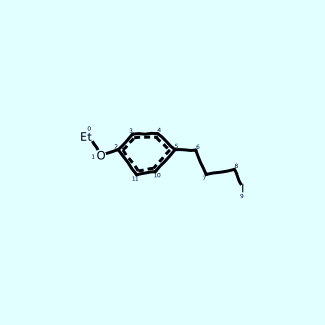 CCOc1ccc(CCCI)cc1